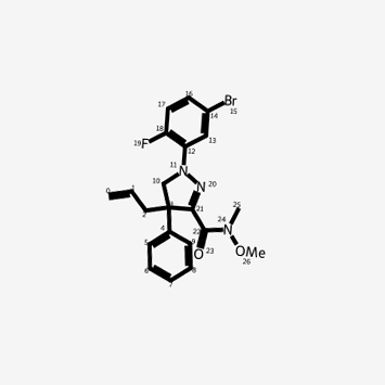 C=CCC1(c2ccccc2)CN(c2cc(Br)ccc2F)N=C1C(=O)N(C)OC